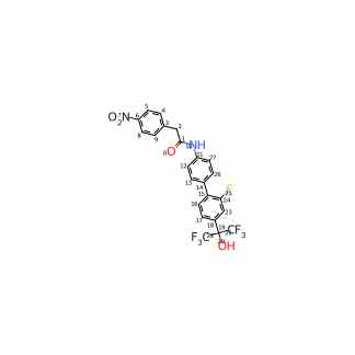 O=C(Cc1ccc([N+](=O)[O-])cc1)Nc1ccc(-c2ccc(C(O)(C(F)(F)F)C(F)(F)F)cc2F)cc1